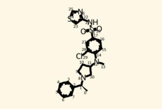 C[C@@H](c1ccccc1)N1CCC(N(C)c2ccc(S(=O)(=O)Nc3cscn3)cc2Cl)C1